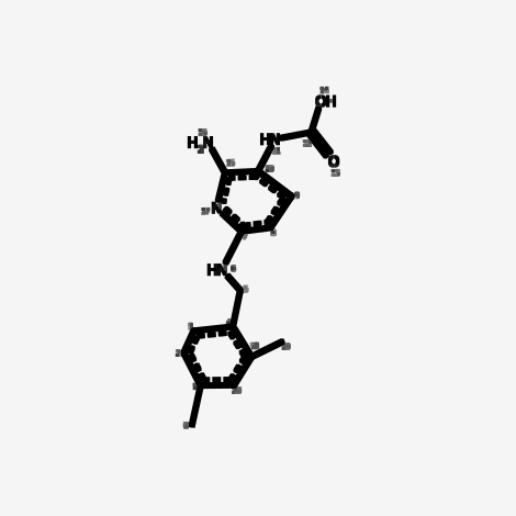 Cc1ccc(CNc2ccc(NC(=O)O)c(N)n2)c(C)c1